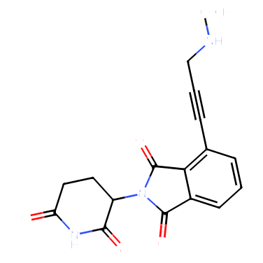 O=C(O)NCC#Cc1cccc2c1C(=O)N(C1CCC(=O)NC1=O)C2=O